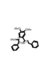 CNC(=O)[C@H](N[C@@H](CCc1ccccc1)c1ccc(OC)c(OC)c1)c1ccccc1